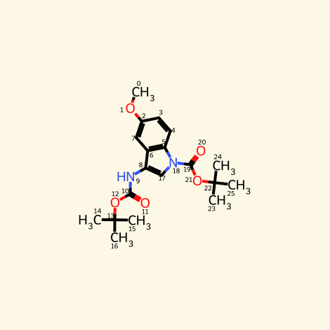 COc1ccc2c(c1)c(NC(=O)OC(C)(C)C)cn2C(=O)OC(C)(C)C